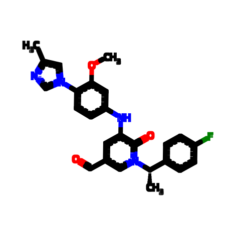 COc1cc(Nc2cc(C=O)cn([C@@H](C)c3ccc(F)cc3)c2=O)ccc1-n1cnc(C)c1